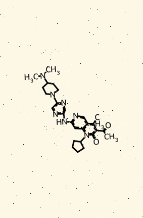 CC(=O)c1c(C)c2cnc(Nc3cnc(N4CCC(N(C)C)CC4)cn3)cc2n(C2CCCC2)c1=O